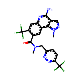 CN(Cc1ccc(C(F)(F)F)nn1)C(=O)c1cc2c(cc1C(F)(F)F)nc(N)c1cnn(C)c12